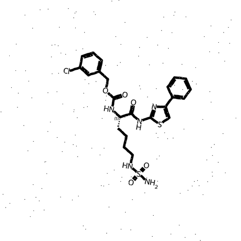 NS(=O)(=O)NCCCC[C@H](NC(=O)OCc1cccc(Cl)c1)C(=O)Nc1nc(-c2ccccc2)cs1